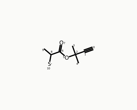 C#CC(C)(C)OC(=O)C(C)[S]